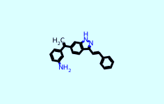 C=C(c1cccc(N)c1)c1ccc2c(C=Cc3ccccc3)n[nH]c2c1